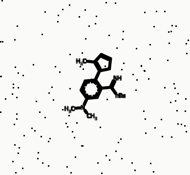 CCCCC(=N)c1cc(N(C)C)ccc1C1=C(C)C=CC1